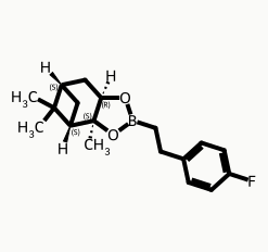 CC1(C)[C@@H]2C[C@H]3OB(CCc4ccc(F)cc4)O[C@@]3(C)[C@H]1C2